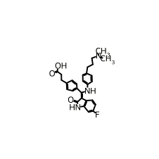 CN(C)CCCc1ccc(NC(=C2C(=O)Nc3cc(F)ccc32)c2ccc(CCC(=O)O)cc2)cc1